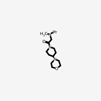 CC(C)N(C)CC(=O)N1CCC(N2CCOCC2)CC1